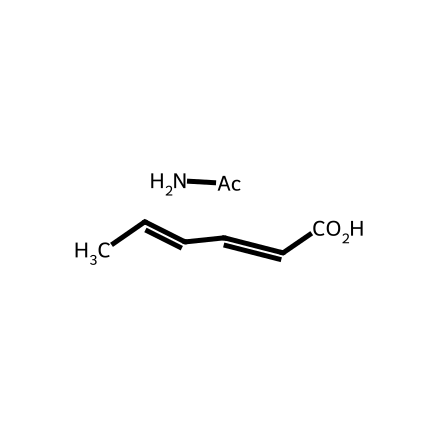 C/C=C/C=C/C(=O)O.CC(N)=O